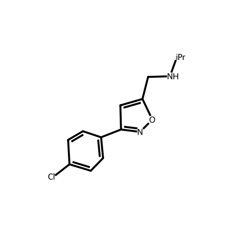 CC(C)NCc1cc(-c2ccc(Cl)cc2)no1